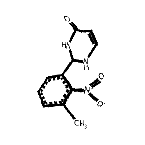 Cc1cccc(C2NC=CC(=O)N2)c1[N+](=O)[O-]